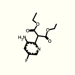 CCOC(=O)C(C(=O)OCC)c1ncc(F)cc1N